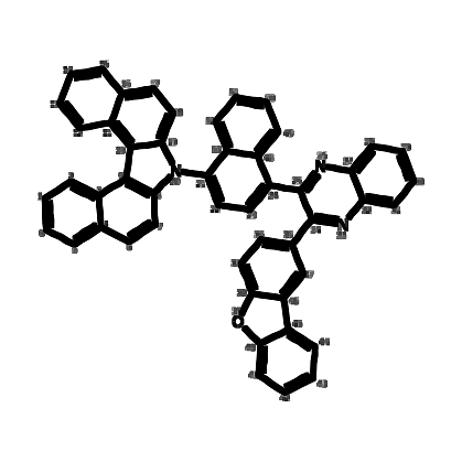 c1ccc2c(c1)ccc1c2c2c3ccccc3ccc2n1-c1ccc(-c2nc3ccccc3nc2-c2ccc3oc4ccccc4c3c2)c2ccccc12